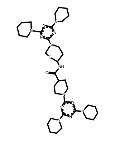 O=C(NC1CCN(c2nc(N3CCCCC3)nc(N3CCCCC3)n2)CC1)C1CCN(c2nc(N3CCCCC3)nc(N3CCCCC3)n2)CC1